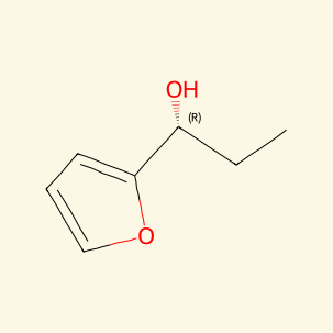 CC[C@@H](O)c1ccco1